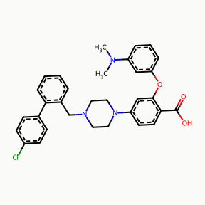 CN(C)c1cccc(Oc2cc(N3CCN(Cc4ccccc4-c4ccc(Cl)cc4)CC3)ccc2C(=O)O)c1